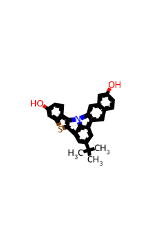 CC(C)(C)c1cc2c3cc4ccc(O)cc4cc3n3c2c(c1)c1sc2cc(O)ccc2c13